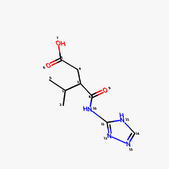 CC(C)C(CC(=O)O)C(=O)Nc1nnc[nH]1